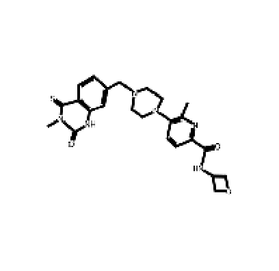 Cc1nc(C(=O)NC2COC2)ccc1N1CCN(Cc2ccc3c(=S)n(C)c(=O)[nH]c3c2)CC1